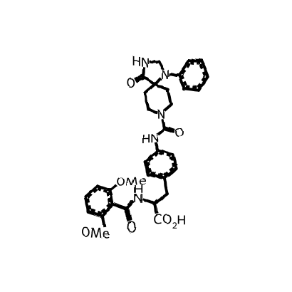 COc1cccc(OC)c1C(=O)NC(Cc1ccc(NC(=O)N2CCC3(CC2)C(=O)NCN3c2ccccc2)cc1)C(=O)O